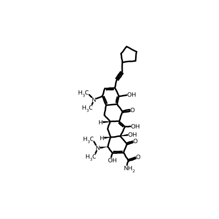 CN(C)c1cc(C#CC2CCCC2)c(O)c2c1C[C@H]1C[C@H]3[C@H](N(C)C)C(O)=C(C(N)=O)C(=O)[C@@]3(O)C(O)=C1C2=O